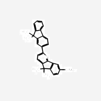 COc1ccc2c(c1)-c1nc(-c3ccc4c(c3)C(C)(C)c3ccccc3-4)ccc1C2(C)C